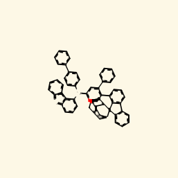 c1ccc(-c2ccc(N(c3ccc(-c4cccc5c4C4(c6ccccc6-5)C5CC6CC(C5)CC4C6)c(-c4ccccc4)c3)c3cccc4sc5ccccc5c34)cc2)cc1